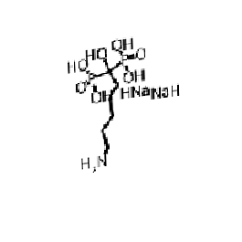 NCCCCCC(O)(P(=O)(O)O)P(=O)(O)O.[NaH].[NaH]